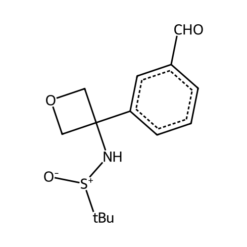 CC(C)(C)[S+]([O-])NC1(c2cccc(C=O)c2)COC1